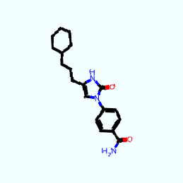 NC(=O)c1ccc(-n2cc(CCCC3CCCCC3)[nH]c2=O)cc1